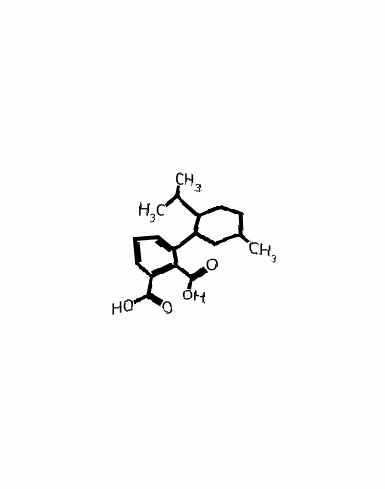 CC1CCC(C(C)C)C(c2cccc(C(=O)O)c2C(=O)O)C1